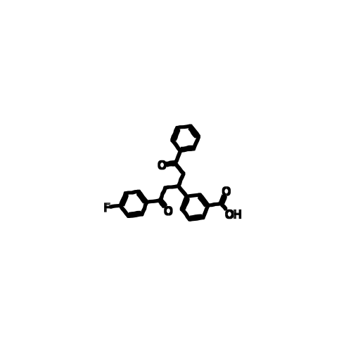 O=C(O)c1cccc(C(CC(=O)c2ccccc2)CC(=O)c2ccc(F)cc2)c1